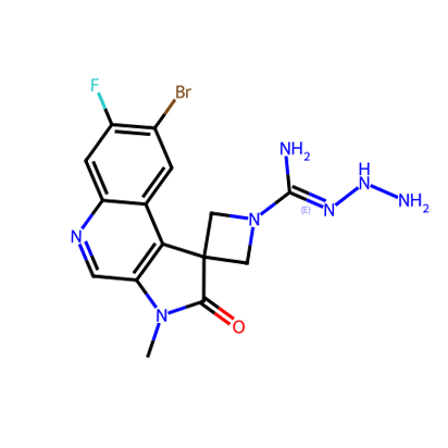 CN1C(=O)C2(CN(/C(N)=N/NN)C2)c2c1cnc1cc(F)c(Br)cc21